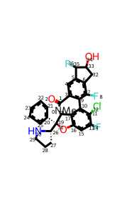 CNC(=O)c1cc2c(c(F)c1-c1c(Cl)c(F)cc3c1C[C@](c1ccccc1)([C@@H]1CCCN1)O3)CC(O)C2F